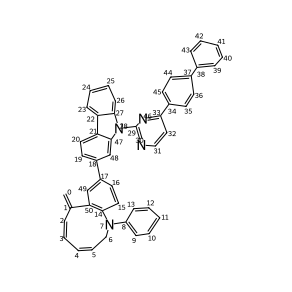 C=C1/C=C\C=C/CN(c2ccccc2)c2ccc(-c3ccc4c5ccccc5n(-c5nccc(-c6ccc(-c7ccccc7)cc6)n5)c4c3)cc21